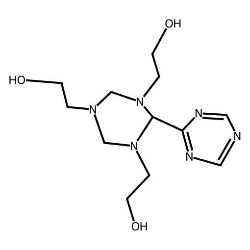 OCCN1CN(CCO)C(c2ncncn2)N(CCO)C1